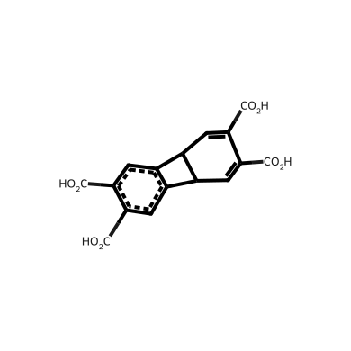 O=C(O)C1=CC2c3cc(C(=O)O)c(C(=O)O)cc3C2C=C1C(=O)O